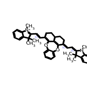 CN1/C(=C/C=C2\CCC3CCC(/C=C/C4=[N+](C)c5ccccc5C4(C)C)=C4Oc5ccccc5OC2=C43)C(C)(C)c2ccccc21